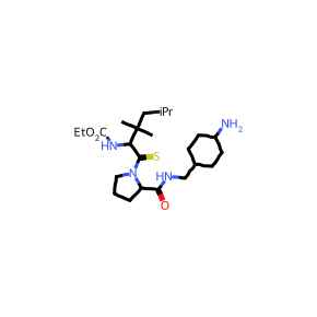 CCOC(=O)NC(C(=S)N1CCCC1C(=O)NCC1CCC(N)CC1)C(C)(C)CC(C)C